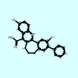 O=C(O)c1c2c(nc3ccc(F)cc13)-c1cc(F)c(-c3ccccc3)cc1CCC2